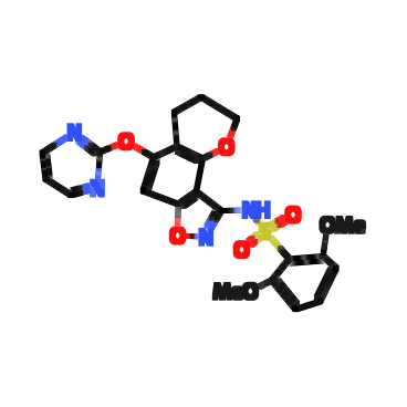 COc1cccc(OC)c1S(=O)(=O)Nc1noc2cc(Oc3ncccn3)c3c(c12)OCCC3